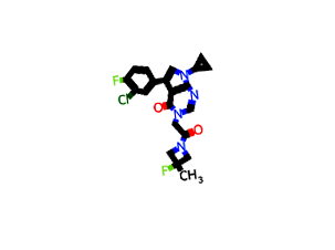 CC1(F)CN(C(=O)Cn2cnc3c(c(-c4ccc(F)c(Cl)c4)cn3C3CC3)c2=O)C1